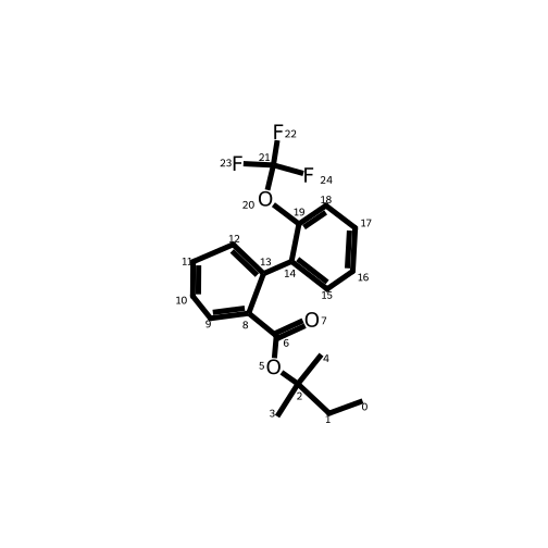 CCC(C)(C)OC(=O)c1ccccc1-c1ccccc1OC(F)(F)F